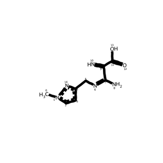 Cn1ccc(C/N=C(/N)C(=N)C(=O)O)n1